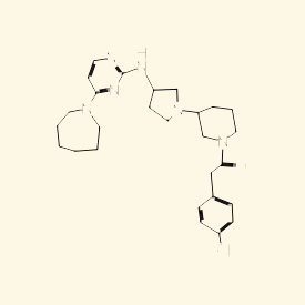 O=C(Cc1ccc(Cl)cc1)N1CCCC(N2CCC(Nc3nccc(N4CCCCCC4)n3)C2)C1